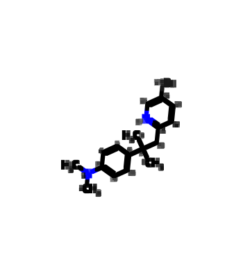 CN(C)c1ccc(C(C)(C)Cc2ccc(C(C)(C)C)cn2)cc1